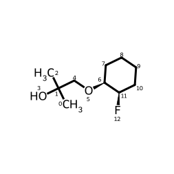 CC(C)(O)CO[C@H]1CCCC[C@H]1F